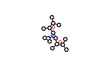 c1ccc(-c2cc(-c3ccccc3)c3oc4c(-c5ccc6c7ccc(-c8cc(-c9ccccc9)cc9c8oc8c(-c%10ccccc%10)cc(-c%10ccccc%10)cc89)cc7n(-c7cc8ccccc8c8ccccc78)c6c5)cc(-c5ccccc5)cc4c3c2)cc1